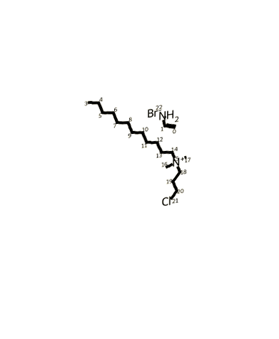 C=CN.CCCCCCCCCCCC[N+](C)(C)CCCCl.[Br-]